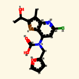 Cc1c(C(C)O)sc2c(N(Cc3ccco3)C(=O)O)cc(Cl)nc12